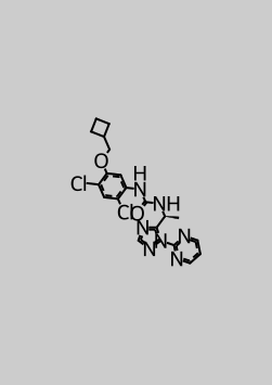 C[C@H](NC(=O)Nc1cc(OCC2CCC2)c(Cl)cc1Cl)c1ncnn1-c1ncccn1